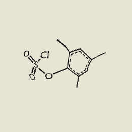 Cc1cc(C)c(OS(=O)(=O)Cl)c(C)c1